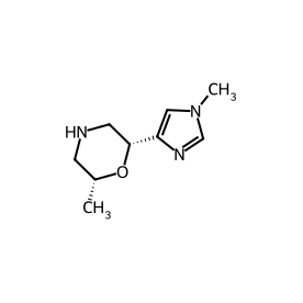 C[C@@H]1CNC[C@H](c2cn(C)cn2)O1